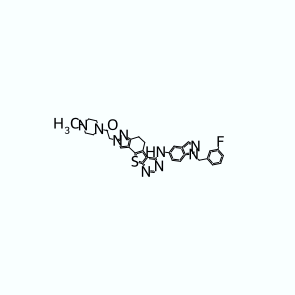 CN1CCN(C(=O)Cn2cc3c(n2)CCc2c-3sc3ncnc(Nc4ccc5c(cnn5Cc5cccc(F)c5)c4)c23)CC1